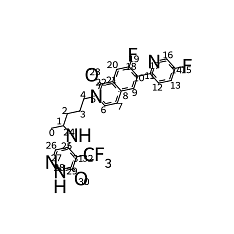 CC(CCCn1ccc2cc(-c3ccc(F)cn3)c(F)cc2c1=O)Nc1cn[nH]c(=O)c1C(F)(F)F